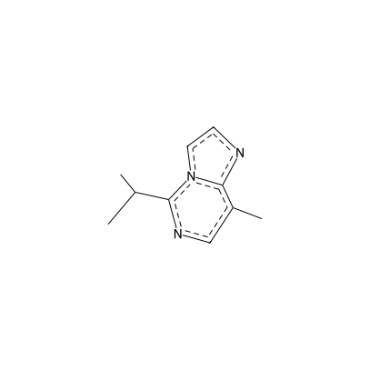 Cc1cnc(C(C)C)n2ccnc12